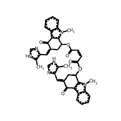 Cc1[nH]cnc1C=C1CC(OC(=O)/C=C\C(=O)OC2CC(=Cc3nc[nH]c3C)C(=O)c3c2n(C)c2ccccc32)c2c(c3ccccc3n2C)C1=O